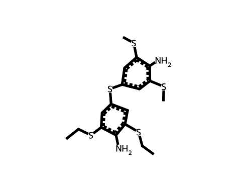 CCSc1cc(Sc2cc(SC)c(N)c(SC)c2)cc(SCC)c1N